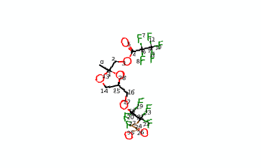 CC1(COC(=O)C(F)(F)C(F)(F)F)OCC(COC(F)(F)C(F)(F)S(=O)(=O)F)O1